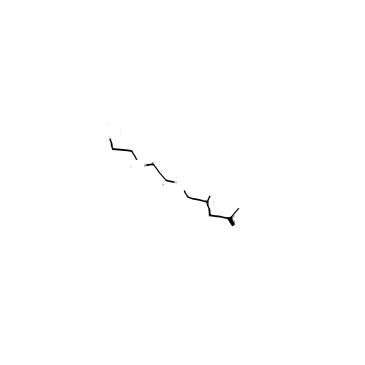 C=C(C)CC(O)COCCOCCO